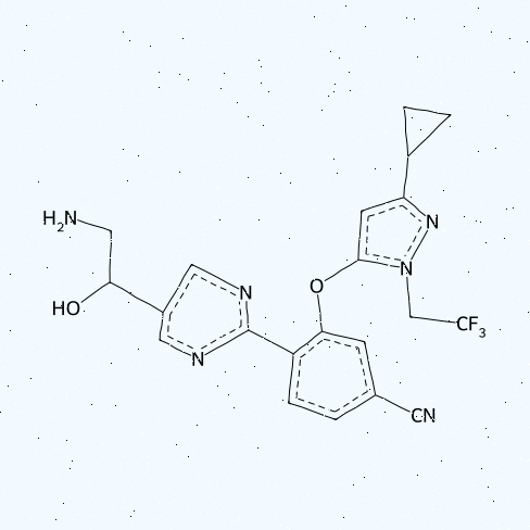 N#Cc1ccc(-c2ncc(C(O)CN)cn2)c(Oc2cc(C3CC3)nn2CC(F)(F)F)c1